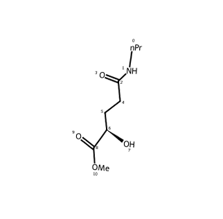 CCCNC(=O)CC[C@@H](O)C(=O)OC